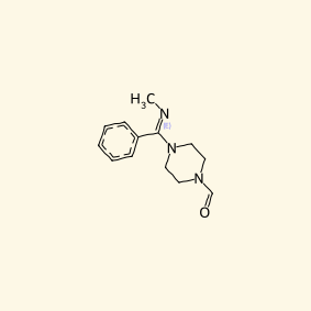 C/N=C(\c1ccccc1)N1CCN(C=O)CC1